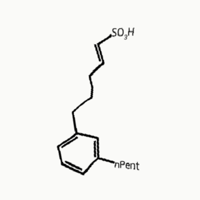 CCCCCc1cccc(CCCC=CS(=O)(=O)O)c1